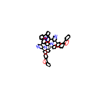 c1ccc(-c2cncc(-c3ccccc3)c2N2c3cc(-c4ccc5oc6ccccc6c5c4)ccc3B3c4ccc(-c5ccc6oc7ccccc7c6c5)cc4N(c4c(-c5ccccc5)cncc4-c4ccccc4)c4cc(-n5c6ccccc6c6ccccc65)cc2c43)cc1